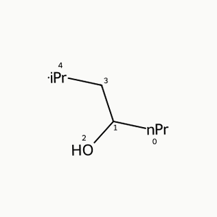 CCCC(O)C[C](C)C